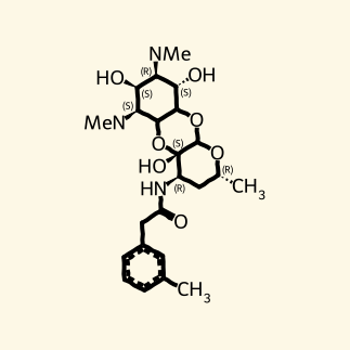 CN[C@@H]1[C@H](O)[C@H](NC)C2O[C@]3(O)C(OC2[C@H]1O)O[C@H](C)C[C@H]3NC(=O)Cc1cccc(C)c1